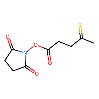 CC(=S)CCC(=O)ON1C(=O)CCC1=O